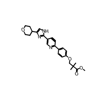 COC(=O)C(C)(C)COc1ccc(-c2c#cc(-c3nc(C4CCOCC4)c[nH]3)cn2)cc1